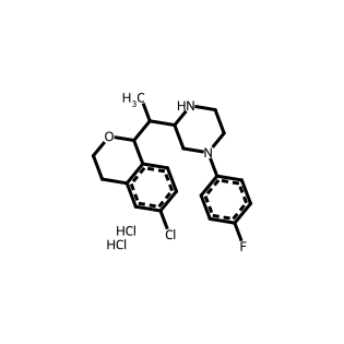 CC(C1CN(c2ccc(F)cc2)CCN1)C1OCCc2cc(Cl)ccc21.Cl.Cl